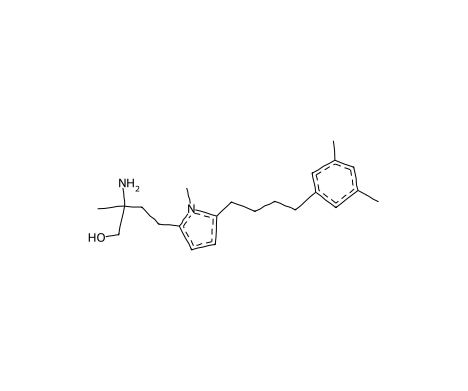 Cc1cc(C)cc(CCCCc2ccc(CCC(C)(N)CO)n2C)c1